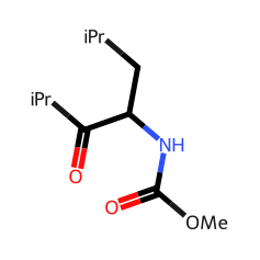 COC(=O)NC(CC(C)C)C(=O)C(C)C